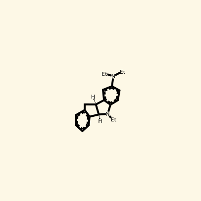 CCN(CC)c1ccc2c(c1)[C@@H]1Cc3ccccc3[C@@H]1N2CC